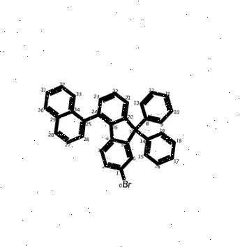 Brc1ccc2c(c1)C(c1ccccc1)(c1ccccc1)c1cccc(-c3cccc4ccccc34)c1-2